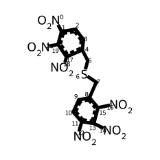 O=[N+]([O-])c1ccc(CSCc2ccc([N+](=O)[O-])c([N+](=O)[O-])c2[N+](=O)[O-])c([N+](=O)[O-])c1[N+](=O)[O-]